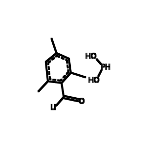 OPO.[Li][C](=O)c1c(C)cc(C)cc1C